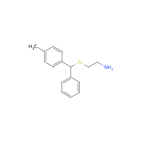 Cc1ccc(C(SCCN)c2ccccc2)cc1